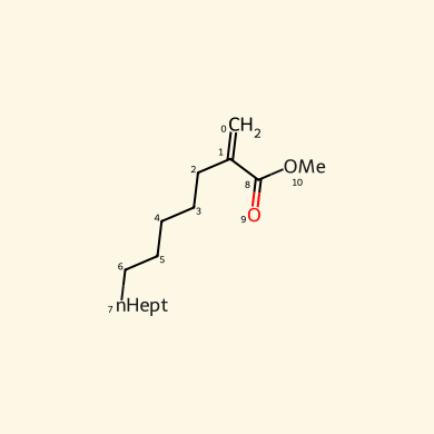 C=C(CCCCCCCCCCCC)C(=O)OC